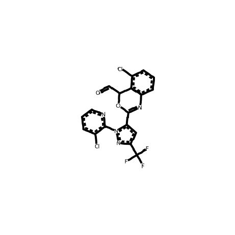 O=CC1OC(c2cc(C(F)(F)F)nn2-c2ncccc2Cl)=Nc2cccc(Cl)c21